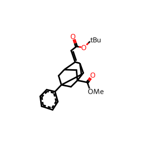 COC(=O)C12CC3CC(c4ccccc4)(CC(C1)C3=CC(=O)OC(C)(C)C)C2